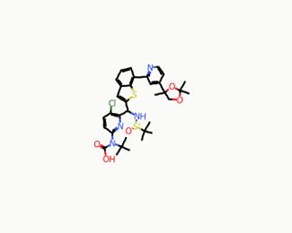 CC1(C)OCC(C)(c2ccnc(-c3cccc4cc(C(N[S+]([O-])C(C)(C)C)c5nc(N(C(=O)O)C(C)(C)C)ccc5Cl)sc34)c2)O1